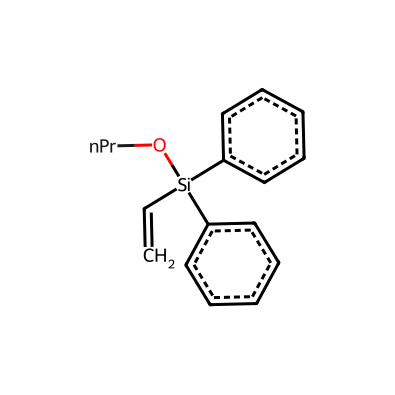 C=C[Si](OCCC)(c1ccccc1)c1ccccc1